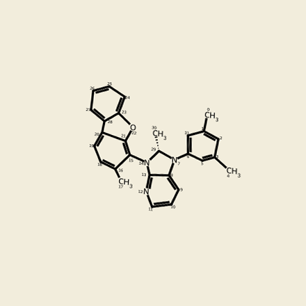 Cc1cc(C)cc(N2c3cccnc3N(c3c(C)ccc4c3oc3ccccc34)[C@@H]2C)c1